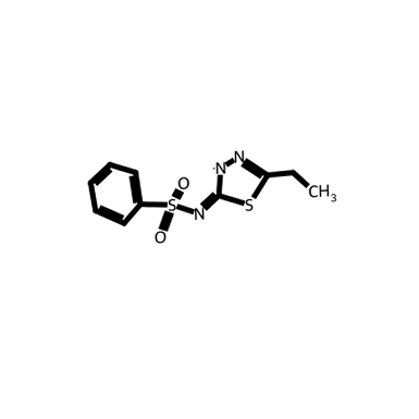 CCC1=N[N]C(=NS(=O)(=O)c2ccccc2)S1